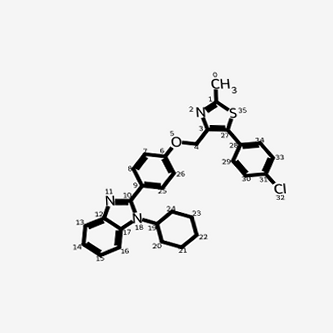 Cc1nc(COc2ccc(-c3nc4ccccc4n3C3CCCCC3)cc2)c(-c2ccc(Cl)cc2)s1